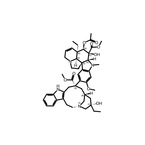 CC[C@]1(O)C[C@@H]2C[N@@](CCc3c([nH]c4ccccc34)C[C@@](C(=O)OC)(c3cc4c(cc3OC)N(C)[C@H]3[C@@](O)(C(=O)OC)[C@H](OC(C)=O)[C@]5(CC)C=CCN6CC[C@]43[C@@H]65)C2)C1